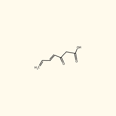 C=CC=CC(=O)CC(=O)O